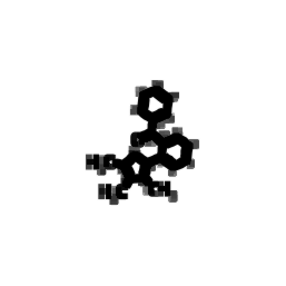 CC1=C(C)C(C)=C(c2ccccc2C(=O)c2ccccc2)C1